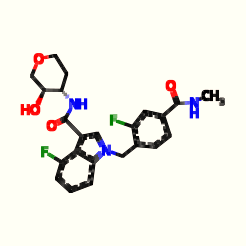 CNC(=O)c1ccc(Cn2cc(C(=O)N[C@H]3CCOC[C@@H]3O)c3c(F)cccc32)c(F)c1